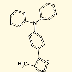 Cc1ccsc1-c1ccc(N(c2ccccc2)c2ccccc2)cc1